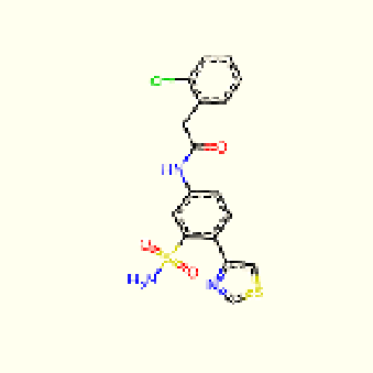 NS(=O)(=O)c1cc(NC(=O)Cc2ccccc2Cl)ccc1-c1cscn1